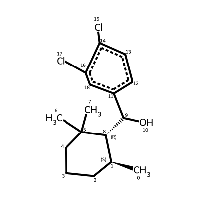 C[C@H]1CCCC(C)(C)[C@@H]1C(O)c1ccc(Cl)c(Cl)c1